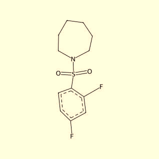 O=S(=O)(c1ccc(F)cc1F)N1CCCCCC1